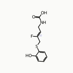 O=C(O)NC/C=C(\F)CSc1ccccc1O